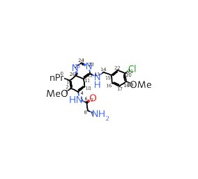 CCCc1c(OC)c(NC(=O)CN)cc2c(NCc3ccc(OC)c(Cl)c3)ncnc12